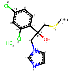 CCCCSC[C@](O)(Cn1ccnc1)c1ccc(Cl)cc1Cl.Cl